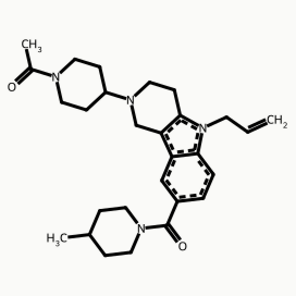 C=CCn1c2c(c3cc(C(=O)N4CCC(C)CC4)ccc31)CN(C1CCN(C(C)=O)CC1)CC2